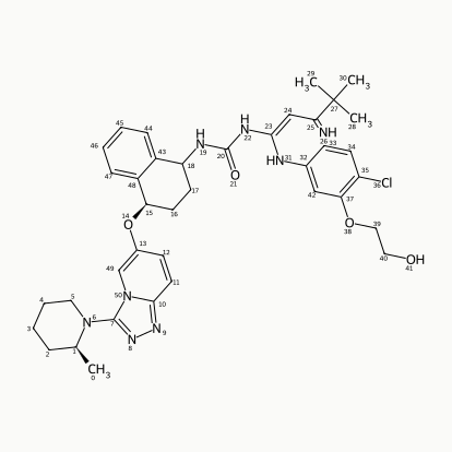 C[C@H]1CCCCN1c1nnc2ccc(O[C@@H]3CCC(NC(=O)N/C(=C/C(=N)C(C)(C)C)Nc4ccc(Cl)c(OCCO)c4)c4ccccc43)cn12